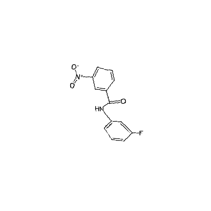 O=C(Nc1cccc(F)c1)c1cccc([N+](=O)[O-])c1